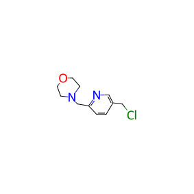 ClCc1ccc(CN2CCOCC2)nc1